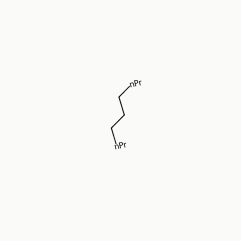 [CH][CH]CCCCCC[CH]